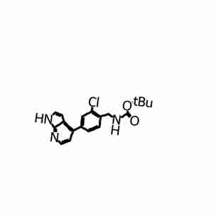 CC(C)(C)OC(=O)NCc1ccc(-c2ccnc3[nH]ccc23)cc1Cl